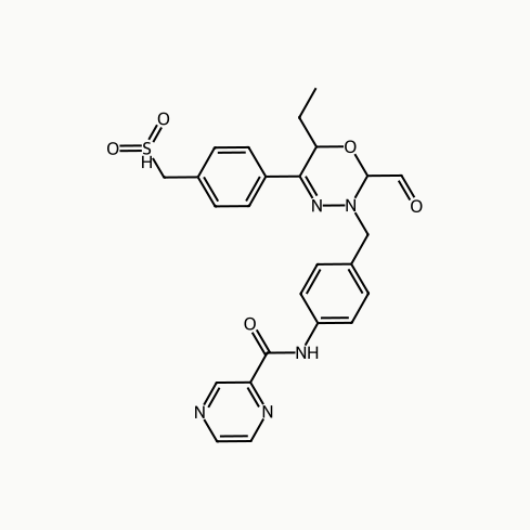 CCC1OC(C=O)N(Cc2ccc(NC(=O)c3cnccn3)cc2)N=C1c1ccc(C[SH](=O)=O)cc1